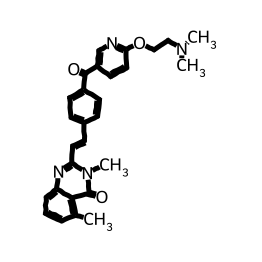 Cc1cccc2nc(C=Cc3ccc(C(=O)c4ccc(OCCN(C)C)nc4)cc3)n(C)c(=O)c12